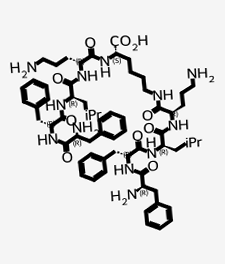 CC(C)C[C@@H](NC(=O)[C@@H](Cc1ccccc1)NC(=O)[C@H](N)Cc1ccccc1)C(=O)N[C@H](CCCN)C(=O)NCCCC[C@H](NC(=O)[C@@H](CCCN)NC(=O)[C@@H](CC(C)C)NC(=O)[C@@H](Cc1ccccc1)NC(=O)[C@H](N)Cc1ccccc1)C(=O)O